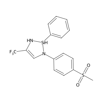 CS(=O)(=O)c1ccc(N2C=C(C(F)(F)F)N[SiH]2c2ccccc2)cc1